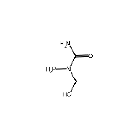 NC(=O)N(P)CO